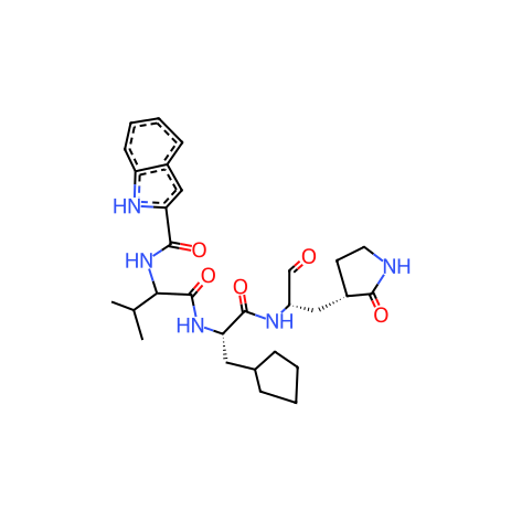 CC(C)C(NC(=O)c1cc2ccccc2[nH]1)C(=O)N[C@@H](CC1CCCC1)C(=O)N[C@H](C=O)C[C@@H]1CCNC1=O